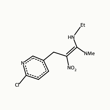 CCN/C(NC)=C(\Cc1ccc(Cl)nc1)[N+](=O)[O-]